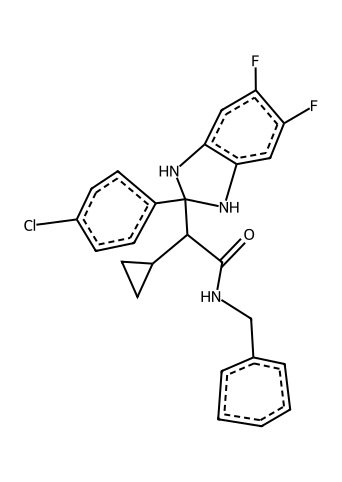 O=C(NCc1ccccc1)C(C1CC1)C1(c2ccc(Cl)cc2)Nc2cc(F)c(F)cc2N1